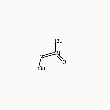 CC(C)(C)/N=[SH](=O)/C(C)(C)C